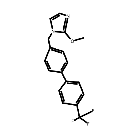 COc1nccn1Cc1ccc(-c2ccc(C(F)(F)F)cc2)cc1